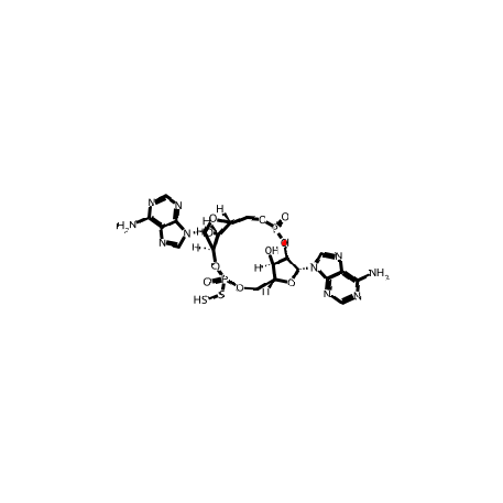 Nc1ncnc2c1ncn2[C@@H]1O[C@@H]2COP(=O)(SS)O[C@@H]3[C@H](O)[C@@H](CO[P](=O)O[C@@H]1[C@@H]2O)O[C@H]3n1cnc2c(N)ncnc21